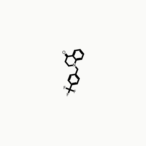 O=C1CCN(Cc2ccc(C(F)(F)F)cc2)c2ccccc21